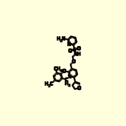 Cc1cc(C)c(Oc2nc(C3=COCC3)ccc2COCNS(=O)(=O)c2cccc(N)n2)c(C)c1